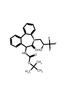 CC(C)(C)OC(=O)NC1C(=O)N(C[C@H](O)C(F)(F)F)c2ccccc2-c2ccccc21